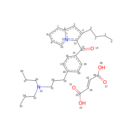 CCCCc1cc2ccccn2c1C(=O)c1ccc(CCCN(CCC)CCC)cc1.O=C(O)C=CC(=O)O